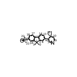 CC1(C)c2cc(-c3cnccc3Cl)ccc2-c2ccc(P(C)(C)=O)cc21